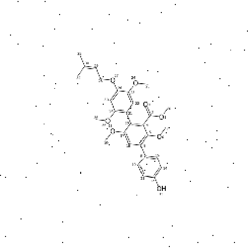 COC(=O)c1c(OC)c(-c2ccc(O)cc2)cc(OC)c1-c1cc(OC)c(OCC=C(C)C)cc1OC